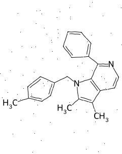 Cc1ccc(Cn2c(C)c(C)c3ccnc(-c4ccccc4)c32)cc1